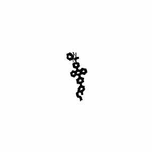 C=C/C=C\c1cc(-c2ccc(-c3c4ccccc4c(-c4ccc(-n5c(C)nc6ccccc65)cc4)c4ccccc34)cc2)ccc1C